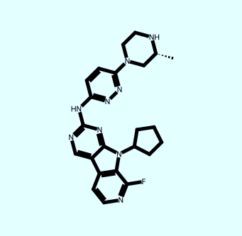 C[C@@H]1CN(c2ccc(Nc3ncc4c5ccnc(F)c5n(C5CCCC5)c4n3)nn2)CCN1